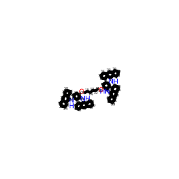 c1ccc2c(Nc3ccc(OCCCCCCOc4ccc(Nc5c6ccccc6cc6ccccc56)cc4Nc4c5ccccc5cc5ccccc45)c(Nc4c5ccccc5cc5ccccc45)c3)c3ccccc3cc2c1